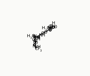 Cn1cc(NC(=O)c2coc(-c3ccnc(NCC(F)(F)F)c3)n2)c(-c2cncc(CNCCOCCOCCCc3cccc4c3n(C)c(=O)n4C3CCC(=O)NC3=O)c2)n1